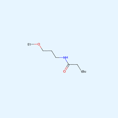 CCOCCCNC(=O)CC(C)(C)C